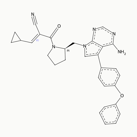 N#C/C(=C\C1CC1)C(=O)N1CCC[C@@H]1Cn1cc(-c2ccc(Oc3ccccc3)cc2)c2c(N)ncnc21